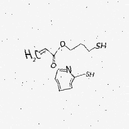 C=CC(=O)OCCCS.Sc1ccccn1